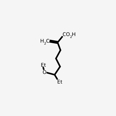 C=C(CCCC(CC)OCC)C(=O)O